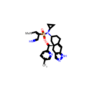 CN/C=C(\C=N)S(=O)(=O)N(C1CC1)[C@H]1CCC2=Cc3[nH]ncc3C[C@]2(C(=O)c2ccc(C(F)(F)F)cn2)C1